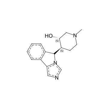 CN1CC[C@@H](C2c3ccccc3-c3cncn32)[C@H](O)C1